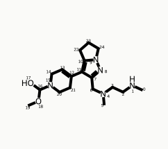 CNCCN(C)Cc1nn2c(c1C1=CCN(C(O)OC)CC1)CCC2